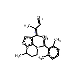 C=C/C(C)=C(\C)c1cnn2c1N(C(=N)c1c(C)cccc1C)CCC2C